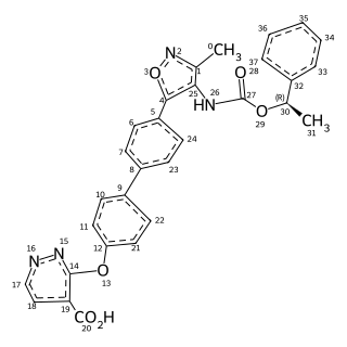 Cc1noc(-c2ccc(-c3ccc(Oc4nnccc4C(=O)O)cc3)cc2)c1NC(=O)O[C@H](C)c1ccccc1